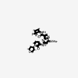 CNc1cc(Nc2cccn(C3CCOCC3)c2=O)nc2c(C(=O)NC3CCC3(F)F)cnn12